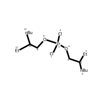 CCCCC(CC)C[O][Zr]([Cl])([Cl])[O]CC(CC)CCCC